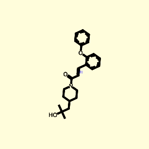 CC(C)(O)CC1CCN(C(=O)/C=C/c2ccccc2Oc2ccccc2)CC1